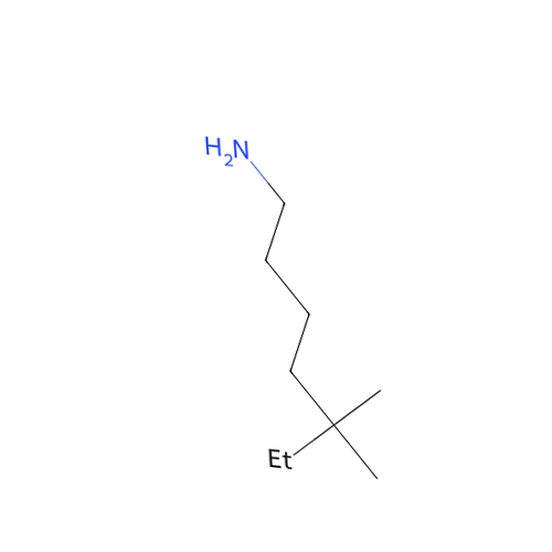 CCC(C)(C)CCCCN